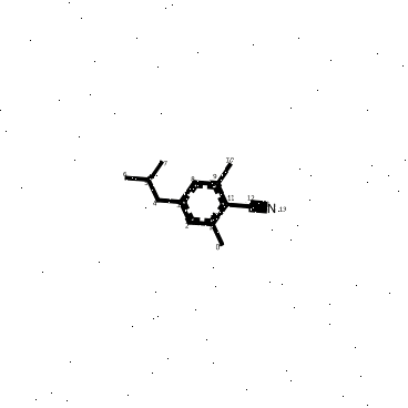 Cc1cc(CC(C)C)cc(C)c1C#N